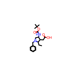 CCC1C(CC(=O)O)C(NC(=O)OC(C)(C)C)CN1Cc1ccccc1